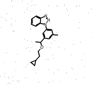 Cc1cc(C(C)OCCC2CC2)cc(-n2nnc3ccccc32)c1